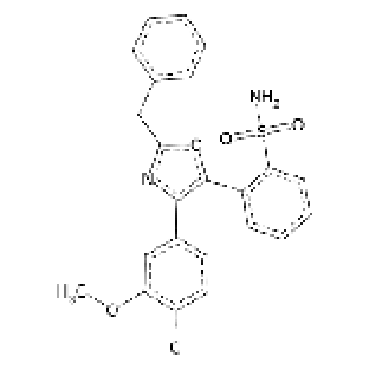 COc1cc(-c2nc(Cc3ccccc3)oc2-c2ccccc2S(N)(=O)=O)ccc1Cl